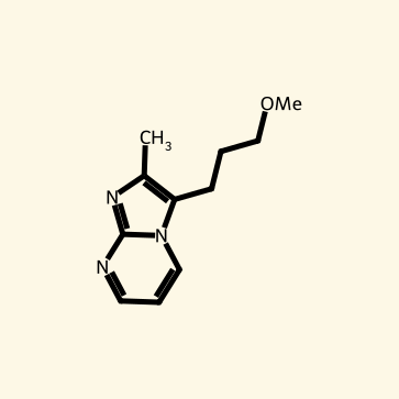 COCCCc1c(C)nc2ncccn12